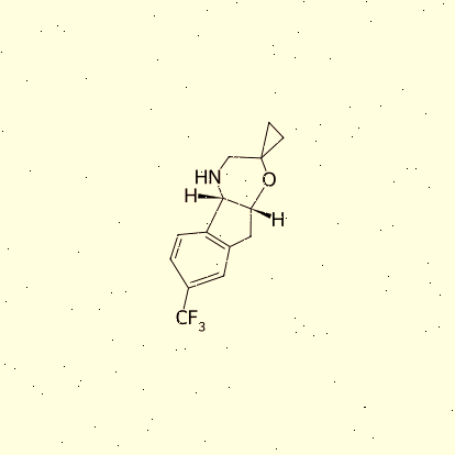 FC(F)(F)c1ccc2c(c1)C[C@H]1OC3(CC3)CN[C@@H]21